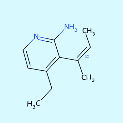 C/C=C(/C)c1c(CC)ccnc1N